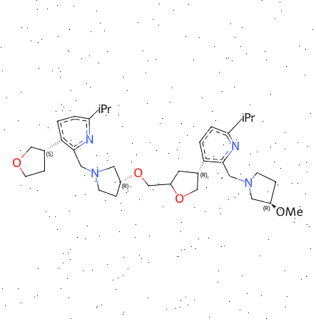 CO[C@@H]1CCN(Cc2nc(C(C)C)ccc2[C@@H]2COC(CO[C@@H]3CCN(Cc4nc(C(C)C)ccc4[C@@H]4CCOC4)C3)C2)C1